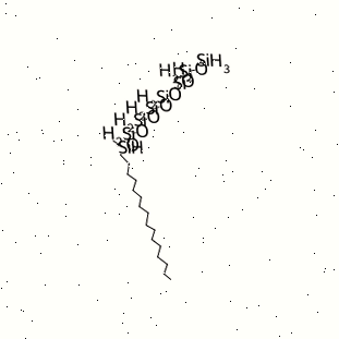 CCCCCCCCCCCCCCCC[SiH](C)O[SiH2]O[SiH2]O[SiH2]O[SiH2]O[SiH2]O[SiH2]O[SiH3]